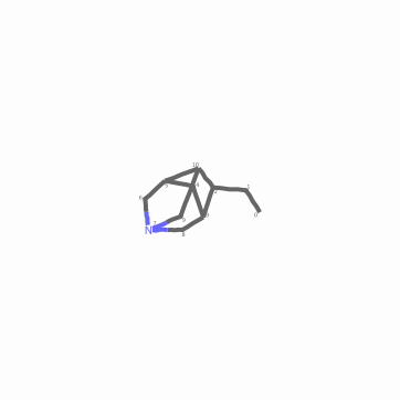 CCC1C2CC3CN(C2)CC31